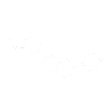 Cc1nc2cc(-c3ccc4ncc(N5CCN(C)CC5)nc4n3)ccc2o1